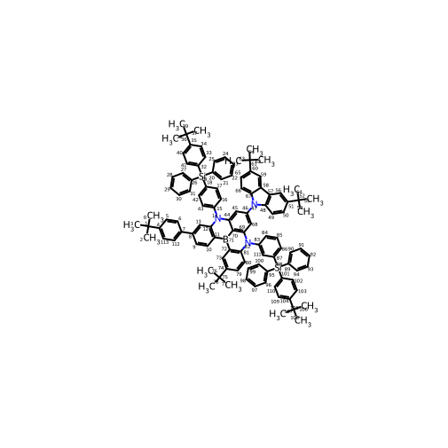 CC(C)(C)c1ccc(-c2ccc3c(c2)N(c2ccc([Si](c4ccccc4)(c4ccccc4)c4ccc(C(C)(C)C)cc4)cc2)c2cc(-n4c5ccc(C(C)(C)C)cc5c5cc(C(C)(C)C)ccc54)cc4c2B3c2cc(C(C)(C)C)ccc2N4c2cccc([Si](c3ccccc3)(c3ccccc3)c3ccc(C(C)(C)C)cc3)c2)cc1